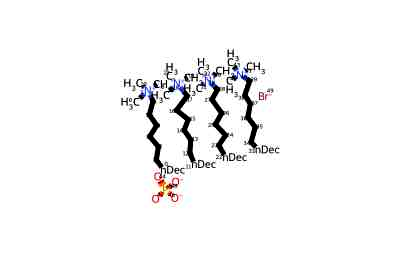 CCCCCCCCCCCCCCCC[N+](C)(C)C.CCCCCCCCCCCCCCCC[N+](C)(C)C.CCCCCCCCCCCCCCCC[N+](C)(C)C.CCCCCCCCCCCCCCCC[N+](C)(C)C.O=P([O-])([O-])[O-].[Br-]